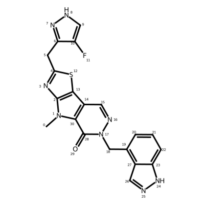 Cn1c2nc(Cc3n[nH]cc3F)sc2c2cnn(Cc3cccc4[nH]ncc34)c(=O)c21